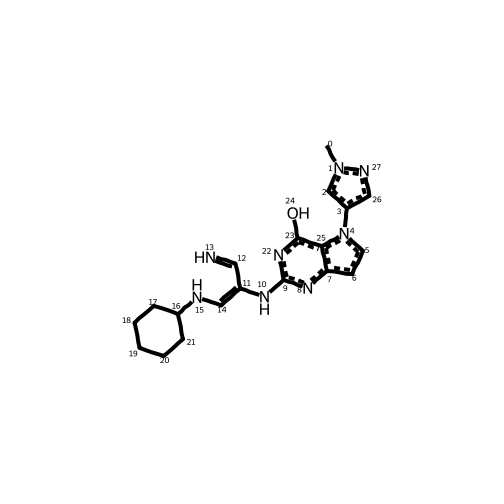 Cn1cc(-n2ccc3nc(N/C(C=N)=C/NC4CCCCC4)nc(O)c32)cn1